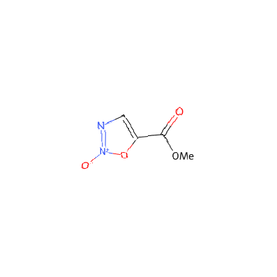 COC(=O)c1cn[n+]([O-])o1